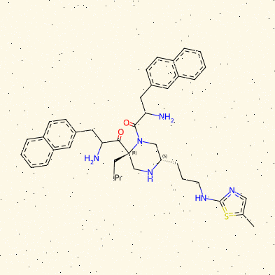 Cc1cnc(NCCC[C@H]2CN(C(=O)C(N)Cc3ccc4ccccc4c3)[C@@](CC(C)C)(C(=O)C(N)Cc3ccc4ccccc4c3)CN2)s1